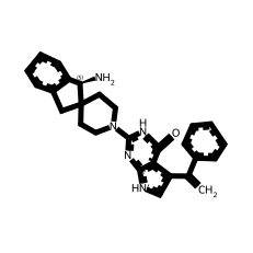 C=C(c1ccccc1)c1c[nH]c2nc(N3CCC4(CC3)Cc3ccccc3[C@H]4N)[nH]c(=O)c12